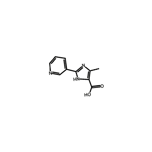 Cc1nc(-c2cccnc2)[nH]c1C(=O)O